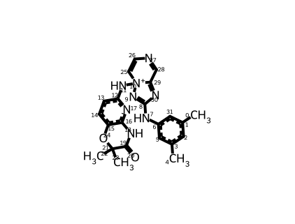 Cc1cc(C)cc(NC2=N[N+]3(Nc4ccc5c(n4)NC(=O)C(C)(C)O5)C=CN=CC3=N2)c1